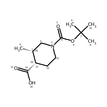 C[C@@H]1CN(C(=O)OC(C)(C)C)CC[C@@H]1C(=O)O